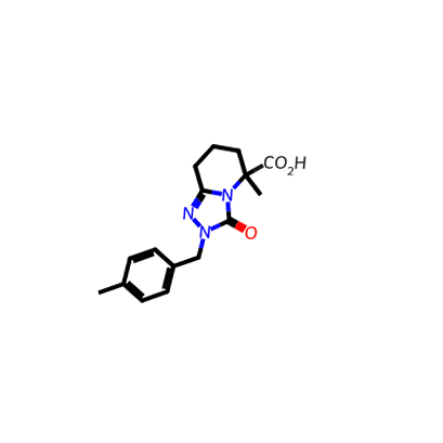 Cc1ccc(Cn2nc3n(c2=O)C(C)(C(=O)O)CCC3)cc1